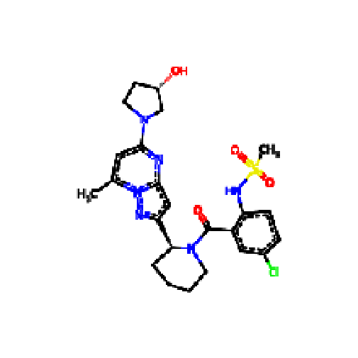 Cc1cc(N2CC[C@H](O)C2)nc2cc([C@@H]3CCCCN3C(=O)c3cc(Cl)ccc3NS(C)(=O)=O)nn12